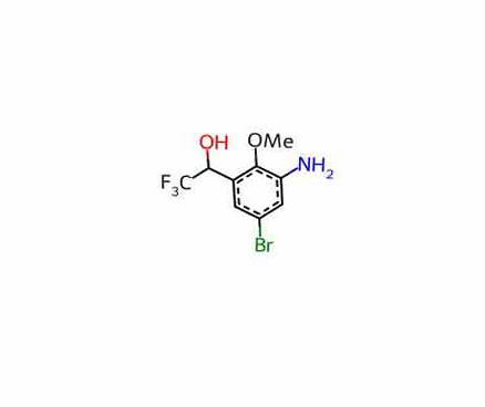 COc1c(N)cc(Br)cc1C(O)C(F)(F)F